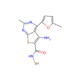 Cc1nc(-c2ccc(C)o2)c2c(N)c(C(=O)NS)sc2n1